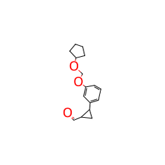 O=CC1CC1c1cccc(OCOC2CCCC2)c1